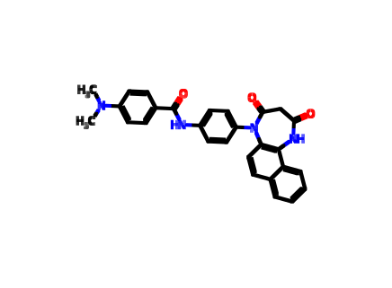 CN(C)c1ccc(C(=O)Nc2ccc(N3C(=O)CC(=O)Nc4c3ccc3ccccc43)cc2)cc1